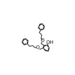 Oc1cccc(COCCCc2ccccc2)c1COCCCc1ccccc1